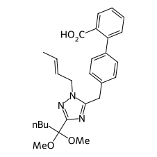 CC=CCn1nc(C(CCCC)(OC)OC)nc1Cc1ccc(-c2ccccc2C(=O)O)cc1